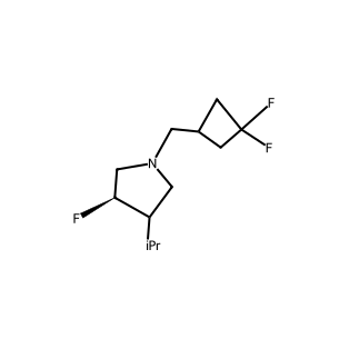 CC(C)C1CN(CC2CC(F)(F)C2)C[C@@H]1F